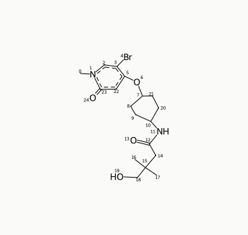 Cn1cc(Br)c(OC2CCC(NC(=O)CC(C)(C)CO)CC2)cc1=O